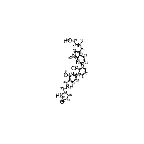 COc1nc(-c2cccc(-c3ccc4c(CN(C)CCO)cn(C)c4n3)c2Cl)ccc1CNC[C@@H]1CCC(=O)N1